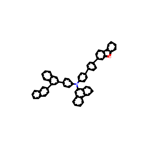 c1ccc2cc(-c3cc(-c4ccc(N(c5ccc(-c6ccc(-c7ccc8c(c7)oc7ccccc78)cc6)cc5)c5cc6ccccc6c6ccccc56)cc4)cc4ccccc34)ccc2c1